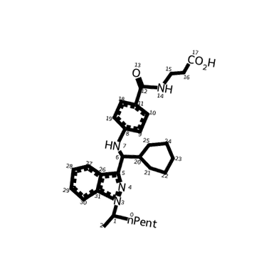 CCCCCC(C)n1nc(C(Nc2ccc(C(=O)NCCC(=O)O)cc2)C2CCCCC2)c2ccccc21